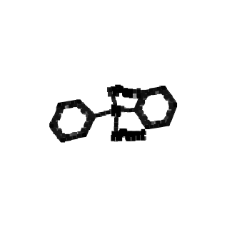 CCCCC[N+](CCCCC)(c1ccccc1)c1ccccc1